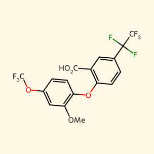 COc1cc(OC(F)(F)F)ccc1Oc1ccc(C(F)(F)C(F)(F)F)cc1C(=O)O